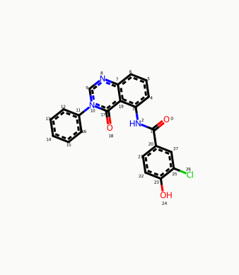 O=C(Nc1cccc2ncn(-c3ccccc3)c(=O)c12)c1ccc(O)c(Cl)c1